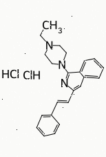 CCN1CCN(c2nc(C=Cc3ccccc3)cc3ccccc23)CC1.Cl.Cl